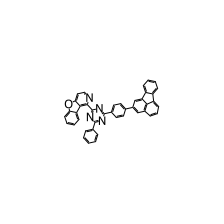 c1ccc(-c2nc(-c3ccc(-c4cc5c6c(cccc6c4)-c4ccccc4-5)cc3)nc(-c3nccc4oc5ccccc5c34)n2)cc1